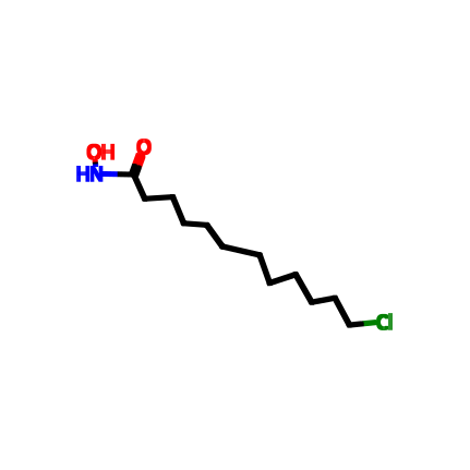 O=C(CCCCCCCCCCCCl)NO